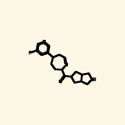 O=C(C1CC2CNCC2C1)C1CCC(c2cncc(F)c2)CC=N1